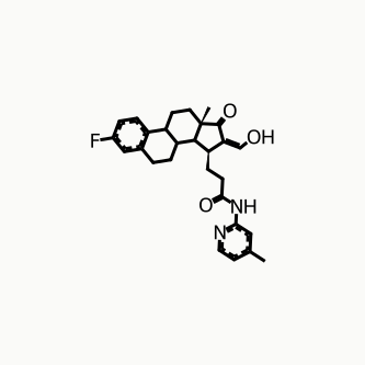 Cc1ccnc(NC(=O)CC[C@@H]2/C(=C/O)C(=O)[C@@]3(C)CCC4c5ccc(F)cc5CCC4C23)c1